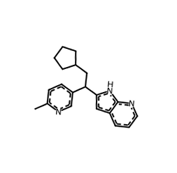 Cc1ccc(C(CC2CCCC2)c2cc3cccnc3[nH]2)cn1